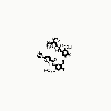 Nc1cc(C(=O)Nc2cc(OCCc3cc(NC(=O)c4ccc(-n5ccnc5)nn4)c(C(=O)O)cc3F)c(F)cc2C(=O)O)nn2nnnc12